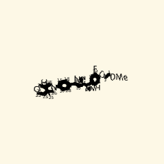 COCCOc1cc2[nH]nc(-c3cc(-c4ccc(N5C[C@H]6COCC[C@@]6(C)C5)cc4)no3)c2cc1F